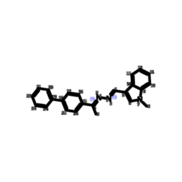 C/C(=N\N=C\c1cn(C)c2ccccc12)c1ccc(-c2ccccc2)cc1